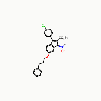 CCOC(=O)C1=C(c2ccc(Cl)cc2)c2ccc(OCCCc3ccccc3)cc2/C1=[N+](/C)[O-]